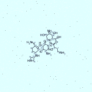 NCC[C@H](O)C(=O)N[C@@H]1C[C@H](N)C(O[C@H]2O[C@H](CN)CC[C@H]2NC2CNC2)[C@H](O)[C@H]1O[C@H]1O[C@H](CO)[C@@H](O)[C@H](N)[C@H]1O